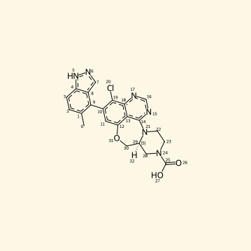 Cc1ccc2[nH]ncc2c1-c1cc2c3c(ncnc3c1Cl)N1CCN(C(=O)O)C[C@H]1CO2